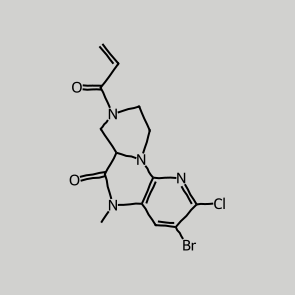 C=CC(=O)N1CCN2c3nc(Cl)c(Br)cc3N(C)C(=O)C2C1